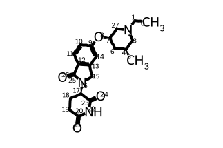 CCN1C[C@@H](C)C[C@@H](Oc2ccc3c(c2)CN([C@@H]2CCC(=O)NC2=O)C3=O)C1